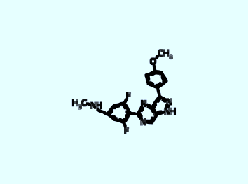 CNCc1cc(F)c(-c2ncc3[nH]nc(-c4ccc(OC)cc4)c3n2)c(F)c1